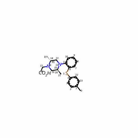 Cc1ccc(Sc2ccccc2N2C[C@@H](C)N(CC(=O)O)C[C@@H]2C)cc1